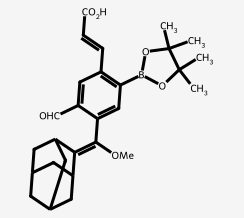 COC(=C1C2CC3CC(C2)CC1C3)c1cc(B2OC(C)(C)C(C)(C)O2)c(/C=C/C(=O)O)cc1C=O